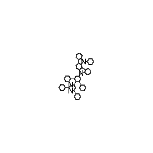 c1ccc(-c2cc(-c3c(-c4ccccc4)cc(-n4c5ccccc5c5c4ccc4c6ccccc6n(-c6ccccc6)c45)cc3-c3ccccc3)nc(-c3ccccc3)n2)cc1